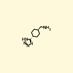 NC[C@H]1CC[C@H](c2nnn[nH]2)CC1